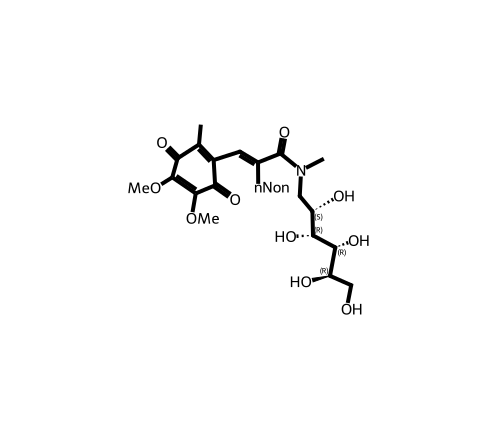 CCCCCCCCCC(=CC1=C(C)C(=O)C(OC)=C(OC)C1=O)C(=O)N(C)C[C@H](O)[C@@H](O)[C@H](O)[C@H](O)CO